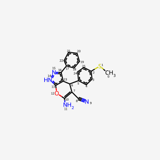 CSc1ccc(C2C(C#N)=C(N)Oc3[nH]nc(-c4ccccc4)c32)cc1